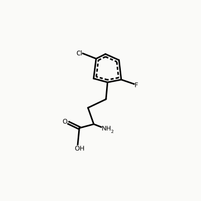 NC(CCc1cc(Cl)ccc1F)C(=O)O